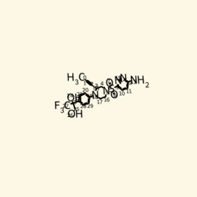 CC#C[C@H]1CN(S(=O)(=O)c2ccc(N)nn2)CCN1c1ccc(C(O)(CO)C(F)(F)F)cc1